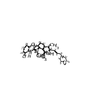 Cc1c(/C=C/CN2CCOCC2)[nH]c(=O)c2c1ccc1nc(Nc3c(Cl)cccc3Cl)n(C)c12